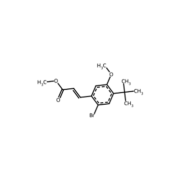 COC(=O)C=Cc1cc(OC)c(C(C)(C)C)cc1Br